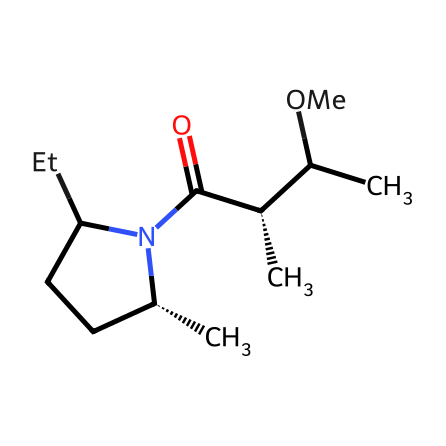 CCC1CC[C@@H](C)N1C(=O)[C@@H](C)C(C)OC